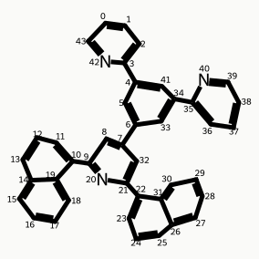 c1ccc(-c2cc(-c3cc(-c4cccc5ccccc45)nc(-c4cccc5ccccc45)c3)cc(-c3ccccn3)c2)nc1